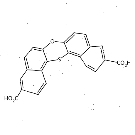 O=C(O)c1ccc2c3c(ccc2c1)Oc1ccc2cc(C(=O)O)ccc2c1S3